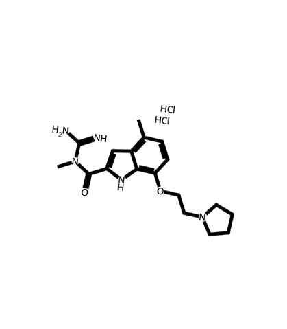 Cc1ccc(OCCN2CCCC2)c2[nH]c(C(=O)N(C)C(=N)N)cc12.Cl.Cl